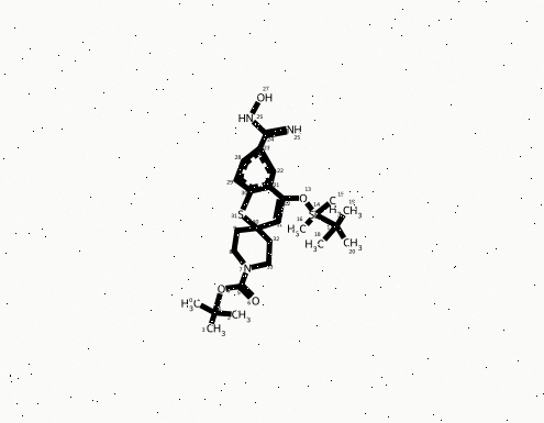 CC(C)(C)OC(=O)N1CCC2(C=C(O[Si](C)(C)C(C)(C)C)c3cc(C(=N)NO)ccc3S2)CC1